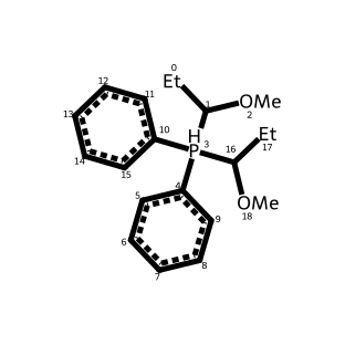 CCC(OC)[PH](c1ccccc1)(c1ccccc1)C(CC)OC